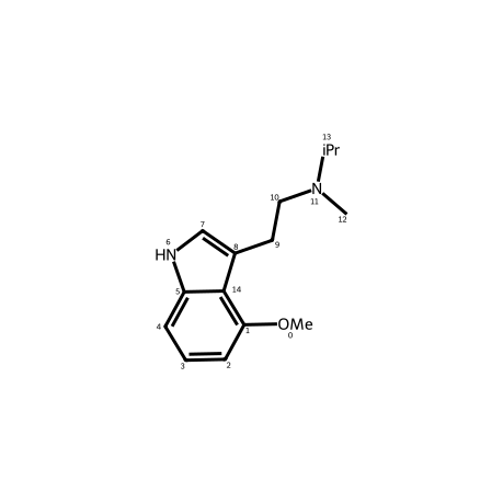 COc1cccc2[nH]cc(CCN(C)C(C)C)c12